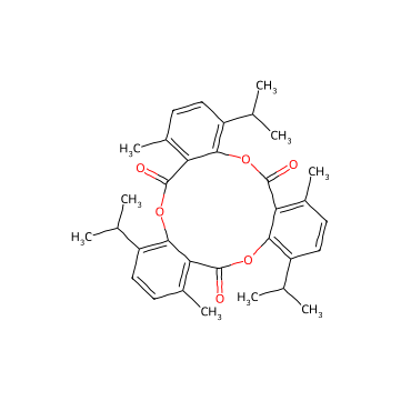 Cc1ccc(C(C)C)c2c1C(=O)Oc1c(C(C)C)ccc(C)c1C(=O)Oc1c(C(C)C)ccc(C)c1C(=O)O2